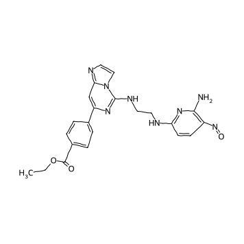 CCOC(=O)c1ccc(-c2cc3nccn3c(NCCNc3ccc(N=O)c(N)n3)n2)cc1